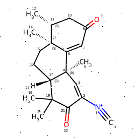 [C-]#[N+]C1=C[C@]2(C)C3=CC(=O)C[C@@H](C)[C@]3(C)CC[C@H]2C(C)(C)C1=O